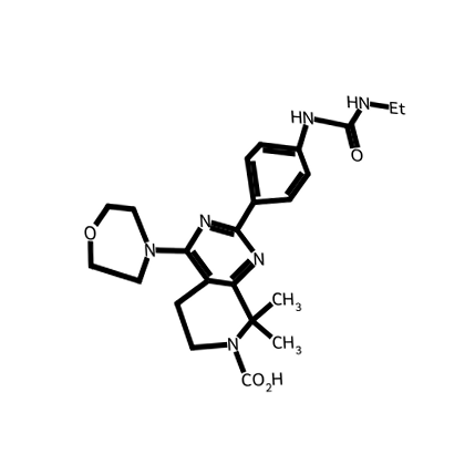 CCNC(=O)Nc1ccc(-c2nc(N3CCOCC3)c3c(n2)C(C)(C)N(C(=O)O)CC3)cc1